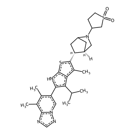 Cc1c(-c2[nH]c3sc([C@@H]4CC5C[C@H]4CN5C4CCS(=O)(=O)C4)c(C)c3c2C(C)C)cn2ncnc2c1C